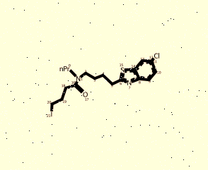 CCCN(CCCCc1nc2ccc(Cl)cc2s1)C(=O)CCCI